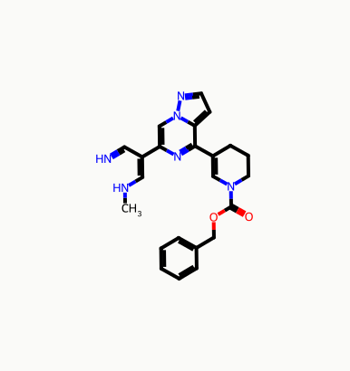 CN/C=C(\C=N)c1cn2nccc2c(C2=CN(C(=O)OCc3ccccc3)CCC2)n1